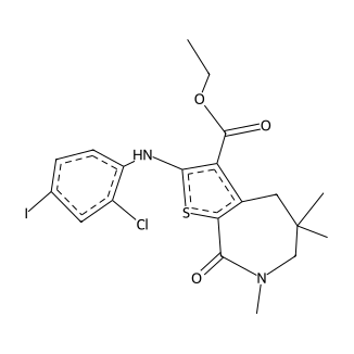 CCOC(=O)c1c(Nc2ccc(I)cc2Cl)sc2c1CC(C)(C)CN(C)C2=O